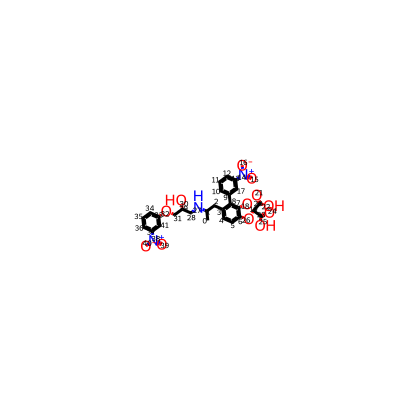 CC(Cc1ccc2c(c1-c1cccc([N+](=O)[O-])c1)OC(C(=O)O)(C(=O)O)O2)NCC(O)COc1cccc([N+](=O)[O-])c1